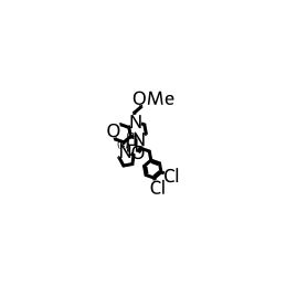 COCCN1CCN(C(=O)Cc2ccc(Cl)c(Cl)c2)[C@H]2C1COC[C@@H]2N1CCCC1